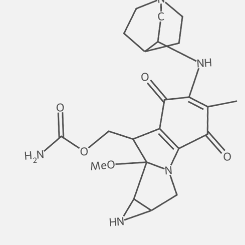 COC12C(COC(N)=O)C3=C(C(=O)C(C)=C(NC4CN5CCC4CC5)C3=O)N1CC1NC12